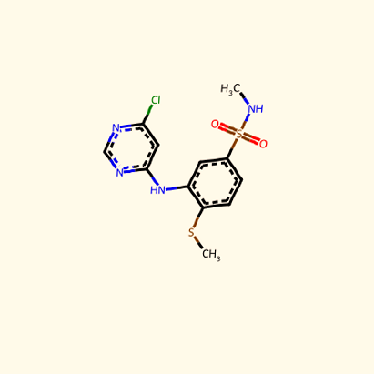 CNS(=O)(=O)c1ccc(SC)c(Nc2cc(Cl)ncn2)c1